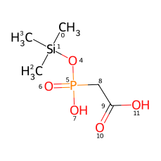 C[Si](C)(C)OP(=O)(O)CC(=O)O